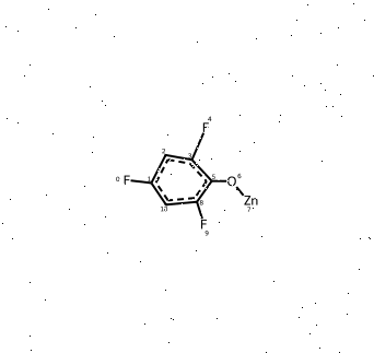 Fc1cc(F)c([O][Zn])c(F)c1